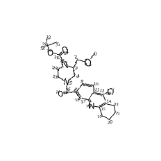 COCC1CN(C(=O)c2ccc3c(Cl)c4c(nc3c2)CCCC4)CCN1C(=O)OC(C)(C)C